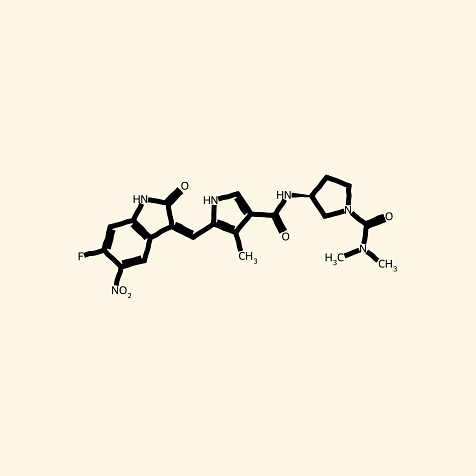 Cc1c(C(=O)N[C@H]2CCN(C(=O)N(C)C)C2)c[nH]c1/C=C1\C(=O)Nc2cc(F)c([N+](=O)[O-])cc21